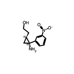 N[C@@]1(c2cccc([N+](=O)[O-])c2)C[C@H]1CCO